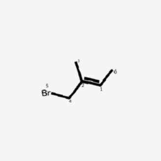 [CH2]/C=C(\C)CBr